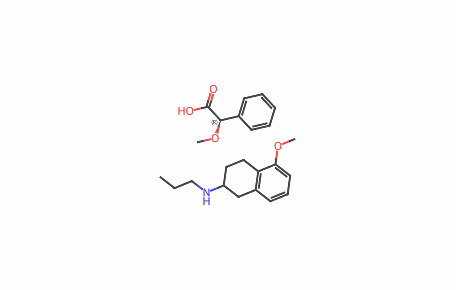 CCCNC1CCc2c(cccc2OC)C1.CO[C@@H](C(=O)O)c1ccccc1